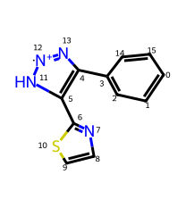 c1ccc(C2=C(c3nccs3)N[N+]=N2)cc1